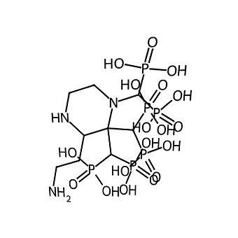 NCCC1NCCN(C(P(=O)(O)O)P(=O)(O)O)C1(C(P(=O)(O)O)P(=O)(O)O)C(P(=O)(O)O)P(=O)(O)O